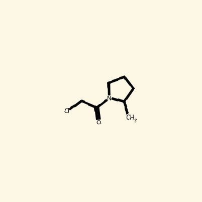 CC1CCCN1C(=O)CCl